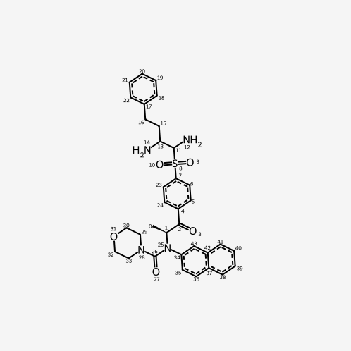 C[C@@H](C(=O)c1ccc(S(=O)(=O)C(N)C(N)CCc2ccccc2)cc1)N(C(=O)N1CCOCC1)c1ccc2ccccc2c1